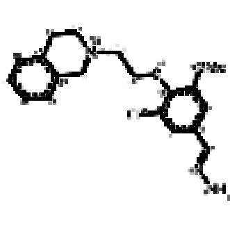 COc1cc(C=NN)cc(Cl)c1OCCN1CCc2ccccc2C1